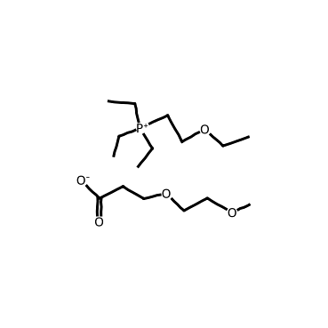 CCOCC[P+](CC)(CC)CC.COCCOCCC(=O)[O-]